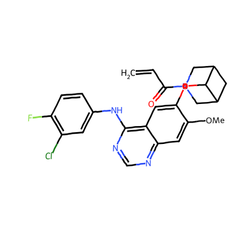 C=CC(=O)N1CC2CC(C1)C2Oc1cc2c(Nc3ccc(F)c(Cl)c3)ncnc2cc1OC